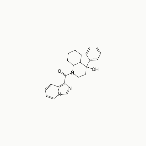 O=C(c1ncn2ccccc12)N1CCC(O)(c2ccccc2)C2CCCCC21